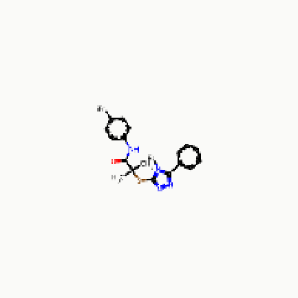 CCn1c(SC(C)(C)C(=O)Nc2ccc(C(C)C)cc2)nnc1-c1ccccc1